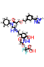 Cn1cc(-c2cccc(CCOCCC(=O)N(CCNCCc3ccc(O)c4c3OCC(=O)N4)C3CCCCCC3)c2)nn1.O=C(O)C(F)(F)F